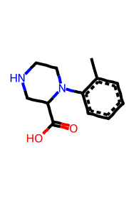 Cc1ccccc1N1CCNCC1C(=O)O